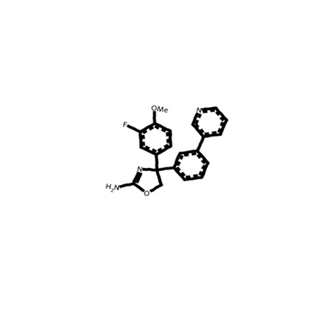 COc1ccc(C2(c3cccc(-c4cccnc4)c3)COC(N)=N2)cc1F